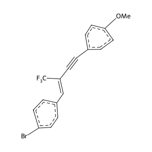 COc1ccc(C#CC(=Cc2ccc(Br)cc2)C(F)(F)F)cc1